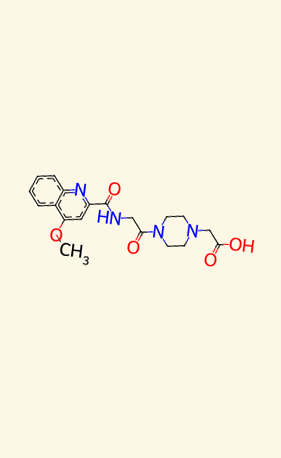 COc1cc(C(=O)NCC(=O)N2CCN(CC(=O)O)CC2)nc2ccccc12